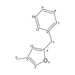 Cc1coc(Cc2ccccc2)c1